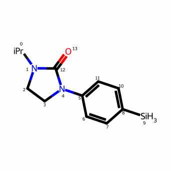 CC(C)N1CCN(c2ccc([SiH3])cc2)C1=O